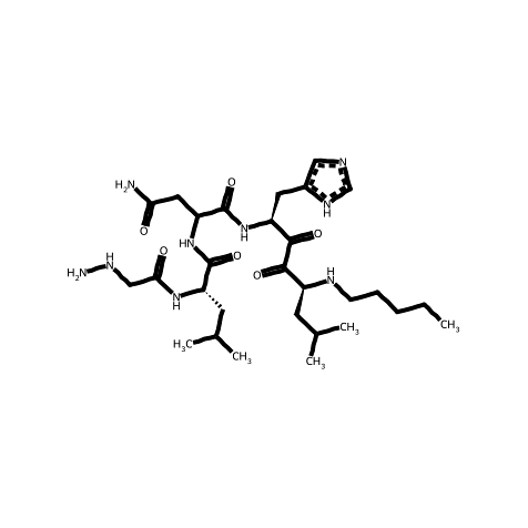 CCCCCN[C@@H](CC(C)C)C(=O)C(=O)[C@H](Cc1cnc[nH]1)NC(=O)C(CC(N)=O)NC(=O)[C@H](CC(C)C)NC(=O)CNN